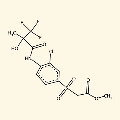 COC(=O)CS(=O)(=O)c1ccc(NC(=O)C(C)(O)C(F)(F)F)c(Cl)c1